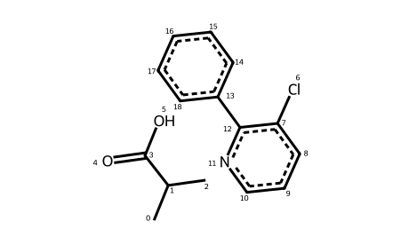 CC(C)C(=O)O.Clc1cccnc1-c1ccccc1